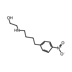 O=[N+]([O-])c1ccc(CCCCNCCO)cc1